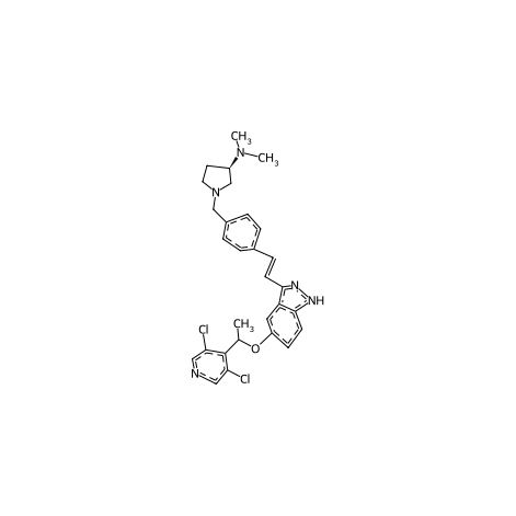 CC(Oc1ccc2[nH]nc(/C=C/c3ccc(CN4CC[C@@H](N(C)C)C4)cc3)c2c1)c1c(Cl)cncc1Cl